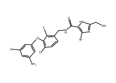 Nc1cc(Cl)cc(Oc2c(Cl)ccc(CNC(=O)c3[nH]c(CO)nc3Br)c2F)c1